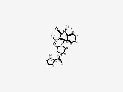 Cn1c(=O)c([N+](=O)[O-])c(N2CCN(C(=O)C3CCCN3)CC2)c2ccccc21